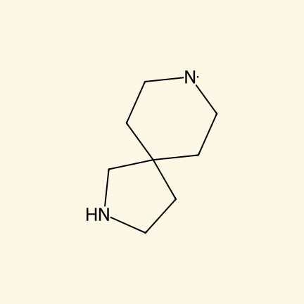 C1CC2(CC[N]1)CCNC2